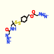 CC(C)(CNC(=O)CN=[N+]=[N-])SSc1ccc(COC(=O)CN=[N+]=[N-])cc1